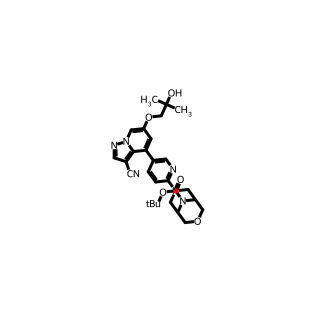 CC(C)(O)COc1cc(-c2ccc(N3CC4COCC(C3)N4C(=O)OC(C)(C)C)nc2)c2c(C#N)cnn2c1